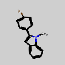 Cn1c(-c2ccc(Br)cc2)cc2ccccc21